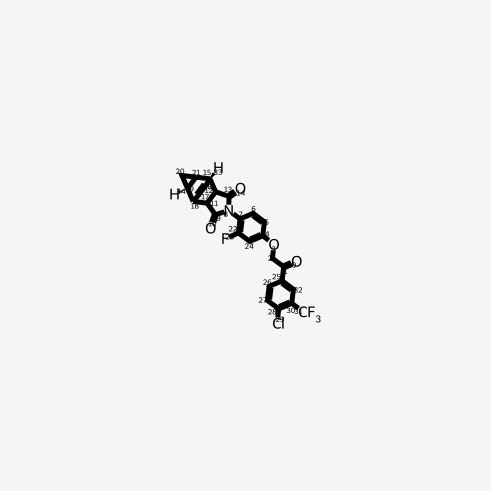 O=C(COc1ccc(N2C(=O)C3C(C2=O)[C@@H]2C=CC3[C@H]3CC23)c(F)c1)c1ccc(Cl)c(C(F)(F)F)c1